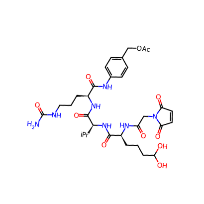 CC(=O)OCc1ccc(NC(=O)[C@H](CCCNC(N)=O)NC(=O)[C@@H](NC(=O)[C@H](CCCC(O)O)NC(=O)CN2C(=O)C=CC2=O)C(C)C)cc1